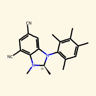 Cc1cc(C)c(N2c3cc(C#N)cc(C#N)c3N(C)[C@@H]2C)c(C)c1C